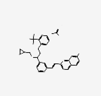 CC(=O)O.CC(C)(O)c1ccccc1CCC(SCC1CC1)c1cccc(/C=C/c2ccc3ccc(Cl)cc3n2)c1.[NaH]